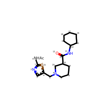 CC(=O)Nc1ncc(CN2CCCC(C(=O)NC3CCCCC3)C2)s1